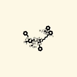 CC(CCCCC[C@@](OCc1ccccc1)(C(=O)NNC(=O)c1nc(OCc2ccccc2)c(C(F)(F)F)cc1NC(=O)O)C(F)(F)F)O[Si](c1ccccc1)(c1ccccc1)C(C)(C)C